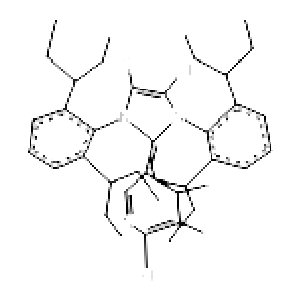 CCC(CC)c1cccc(C(CC)CC)c1N1C(Cl)=C(Cl)N(c2c(C(CC)CC)cccc2C(CC)CC)C1=C1C=NC(Cl)=C(Cl)C1Cl